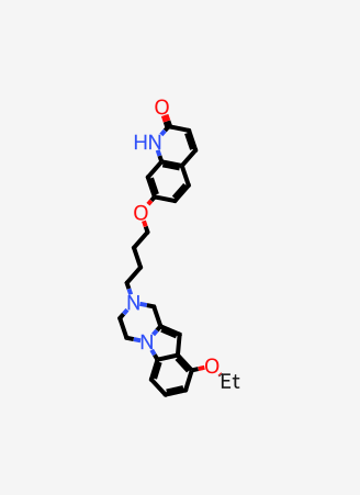 CCOc1cccc2c1cc1n2CCN(CCCCOc2ccc3ccc(=O)[nH]c3c2)C1